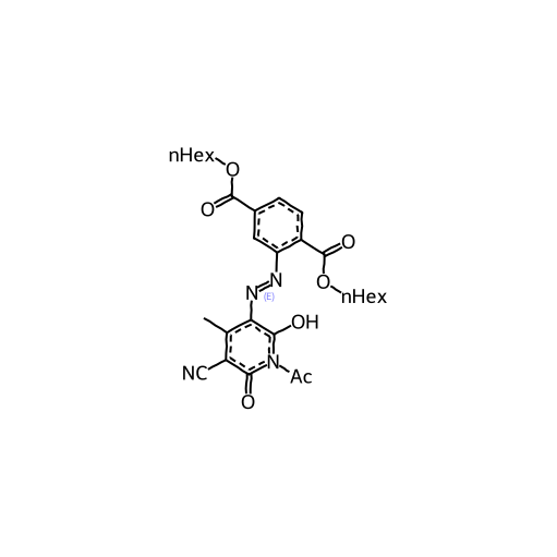 CCCCCCOC(=O)c1ccc(C(=O)OCCCCCC)c(/N=N/c2c(C)c(C#N)c(=O)n(C(C)=O)c2O)c1